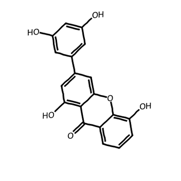 O=c1c2cccc(O)c2oc2cc(-c3cc(O)cc(O)c3)cc(O)c12